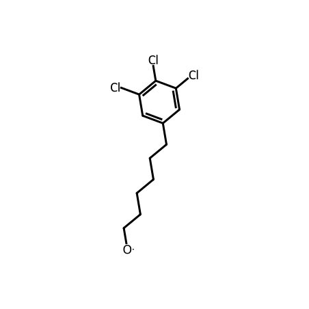 [O]CCCCCCc1cc(Cl)c(Cl)c(Cl)c1